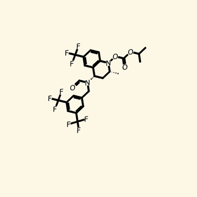 CC(C)OC(=O)ON1c2ccc(C(F)(F)F)cc2[C@@H](N(C=O)Cc2cc(C(F)(F)F)cc(C(F)(F)F)c2)C[C@H]1C